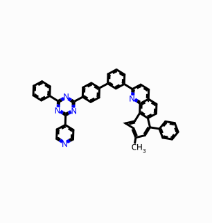 CC1=C\C=C\c2c(ccc3ccc(-c4cccc(-c5ccc(-c6nc(-c7ccccc7)nc(-c7ccncc7)n6)cc5)c4)nc23)/C(c2ccccc2)=C\1